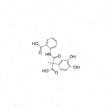 CC(C(=O)O)(C(=O)Nc1ccccc1C(=O)O)c1ccc(O)c(O)c1